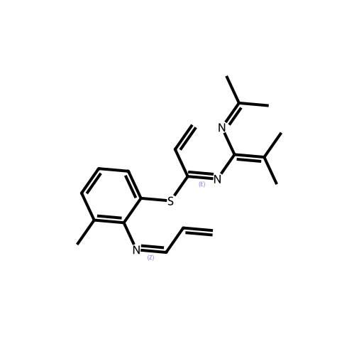 C=C/C=N\c1c(C)cccc1S/C(C=C)=N/C(N=C(C)C)=C(C)C